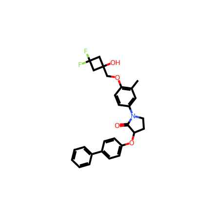 Cc1cc(N2CCC(Oc3ccc(-c4ccccc4)cc3)C2=O)ccc1OCC1(O)CC(F)(F)C1